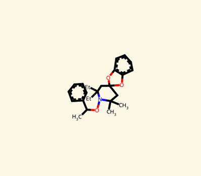 CCC1(CC)CC2(CC(C)(C)N1OC(C)c1ccccc1)Oc1ccccc1O2